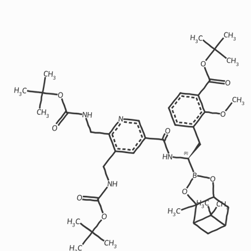 COc1c(C[C@H](NC(=O)c2cnc(CNC(=O)OC(C)(C)C)c(CNC(=O)OC(C)(C)C)c2)B2OC3CC4CC(C4(C)C)C3(C)O2)cccc1C(=O)OC(C)(C)C